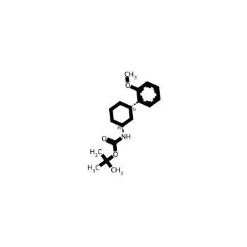 COc1ccccc1[C@H]1CCC[C@@H](NC(=O)OC(C)(C)C)C1